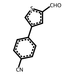 N#Cc1ccc(-c2csc(C=O)c2)cc1